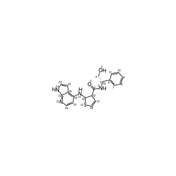 O=C(N[C@H](CO)c1ccccc1)C1C=CSC1Nc1ccnc2[nH]ccc12